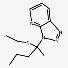 CCCC(C)(CCC)n1nnc2cccnc21